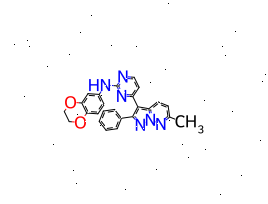 Cc1ccc2c(-c3ccnc(Nc4ccc5c(c4)OCCO5)n3)c(-c3ccccc3)nn2n1